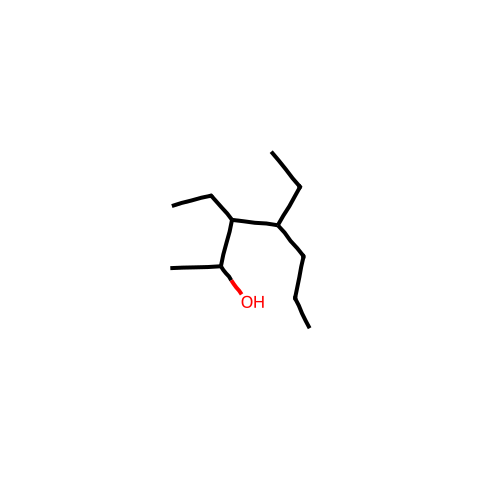 CCCC(CC)C(CC)C(C)O